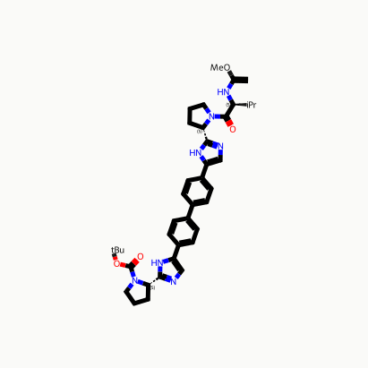 C=C(N[C@H](C(=O)N1CCC[C@H]1c1ncc(-c2ccc(-c3ccc(-c4cnc([C@@H]5CCCN5C(=O)OC(C)(C)C)[nH]4)cc3)cc2)[nH]1)C(C)C)OC